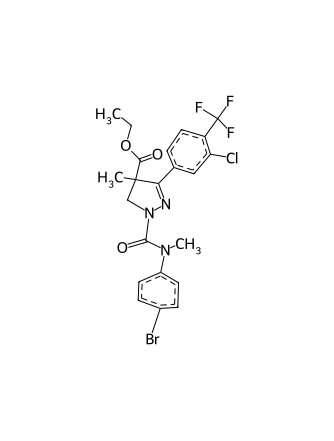 CCOC(=O)C1(C)CN(C(=O)N(C)c2ccc(Br)cc2)N=C1c1ccc(C(F)(F)F)c(Cl)c1